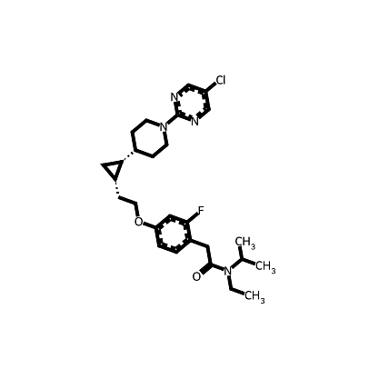 CCN(C(=O)Cc1ccc(OCC[C@@H]2C[C@@H]2C2CCN(c3ncc(Cl)cn3)CC2)cc1F)C(C)C